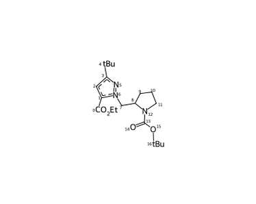 CCOC(=O)c1cc(C(C)(C)C)nn1CC1CCCN1C(=O)OC(C)(C)C